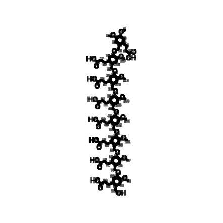 COc1cc(CCC(=O)O)c(COc2cc(CCC(=O)O)c(COc3cc(CCC(=O)O)c(COc4cc(CCC(=O)O)c(COc5cc(CCC(=O)O)c(COc6cc(CCC(=O)O)c(COc7cc(CCC(=O)O)c(COc8cc(CCC(=O)O)c(CO)cc8OC)cc7OC)cc6OC)cc5OC)cc4OC)cc3OC)cc2OC)cc1OC